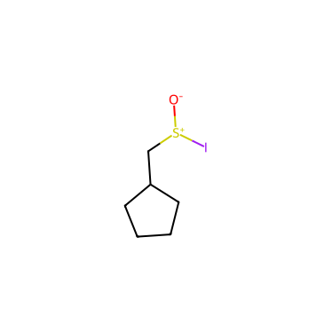 [O-][S+](I)CC1CCCC1